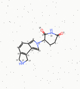 O=C1CCC(n2cc3ccc4c(c3c2)CNC4)C(=O)N1